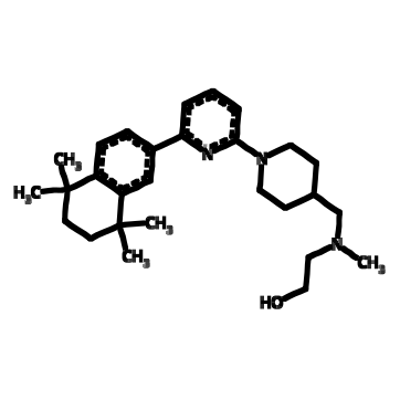 CN(CCO)CC1CCN(c2cccc(-c3ccc4c(c3)C(C)(C)CCC4(C)C)n2)CC1